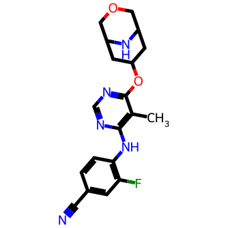 Cc1c(Nc2ccc(C#N)cc2F)ncnc1OC1CC2COCC(C1)N2